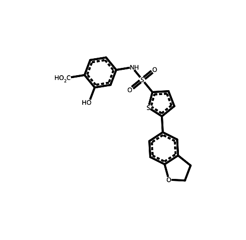 O=C(O)c1ccc(NS(=O)(=O)c2ccc(-c3ccc4c(c3)CCO4)s2)cc1O